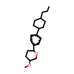 CCCC1CCC(c2ccc(C3CCC(OC)CO3)cc2)CC1